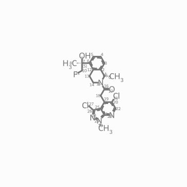 C[C@H]1c2cccc([C@](C)(O)CF)c2CCN1C(=O)Cc1c(Cl)cnc2c1c(Cl)nn2C